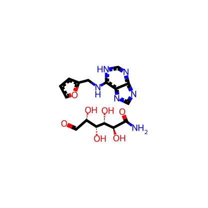 NC(=O)[C@@H](O)[C@@H](O)[C@H](O)[C@@H](O)C=O.c1coc(CNc2[nH]cnc3ncnc2-3)c1